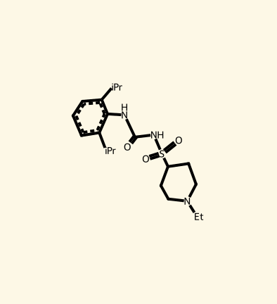 CCN1CCC(S(=O)(=O)NC(=O)Nc2c(C(C)C)cccc2C(C)C)CC1